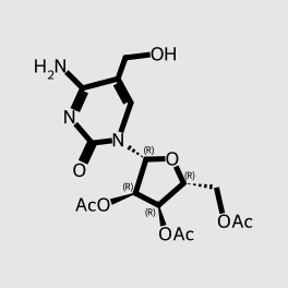 CC(=O)OC[C@H]1O[C@@H](n2cc(CO)c(N)nc2=O)[C@H](OC(C)=O)[C@@H]1OC(C)=O